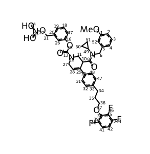 COc1cccc(CN(C(=O)C2CN(C(=O)Oc3cccc(CON(O)O)c3)CC=C2c2ccc(CCCOc3c(F)ccc(F)c3F)cc2)C2CC2)c1